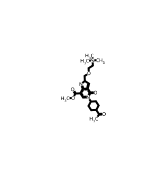 COC(=O)c1cn(C2CCC(C(C)=O)CC2)c(=O)c2c1=NC(COCC[Si](C)(C)C)C=2